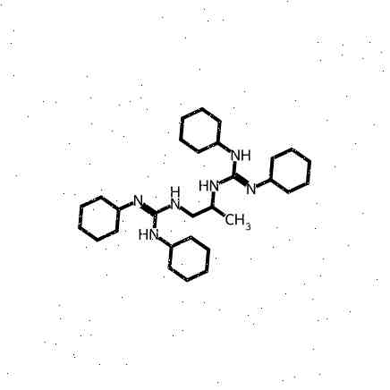 CC(CNC(=NC1CCCCC1)NC1CCCCC1)NC(=NC1CCCCC1)NC1CCCCC1